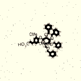 COc1cc(C=CC(=O)O)cc(OC)c1O[C@@H]1O[C@H](COCc2ccccc2)[C@H](OCc2ccccc2)[C@H](OCc2ccccc2)[C@H]1OCc1ccccc1